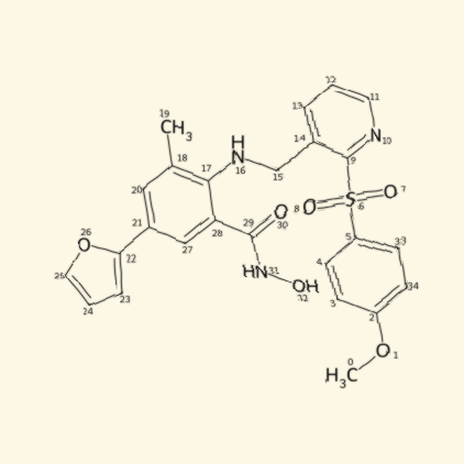 COc1ccc(S(=O)(=O)c2ncccc2CNc2c(C)cc(-c3ccco3)cc2C(=O)NO)cc1